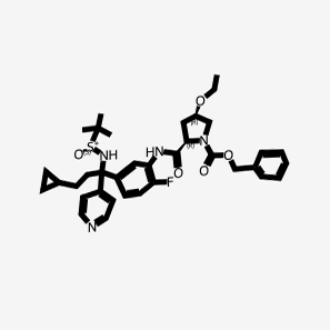 CCO[C@@H]1C[C@H](C(=O)Nc2cc(C(CCC3CC3)(N[S@+]([O-])C(C)(C)C)c3ccncc3)ccc2F)N(C(=O)OCc2ccccc2)C1